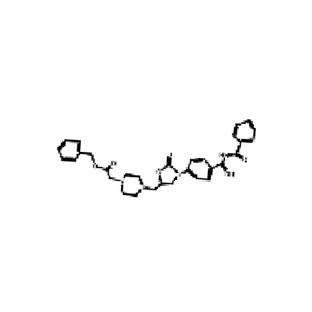 N=C(NC(=O)c1ccccc1)c1ccc(N2CC(CN3CCN(CC(=O)OCc4ccccc4)CC3)OC2=O)cc1